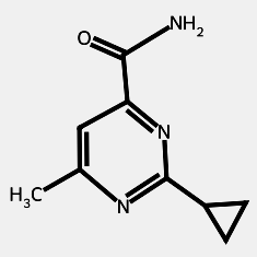 Cc1cc(C(N)=O)nc(C2CC2)n1